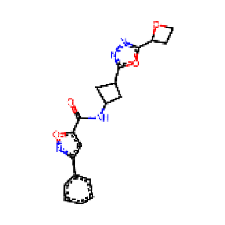 O=C(NC1CC(c2nnc(C3CCO3)o2)C1)c1cc(-c2ccccc2)no1